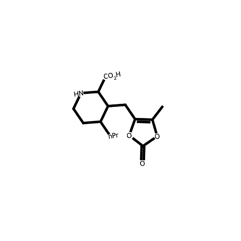 CCCC1CCNC(C(=O)O)C1Cc1oc(=O)oc1C